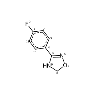 Fc1ccc(C2=NOCN2)cc1